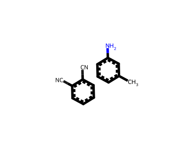 Cc1cccc(N)c1.N#Cc1ccccc1C#N